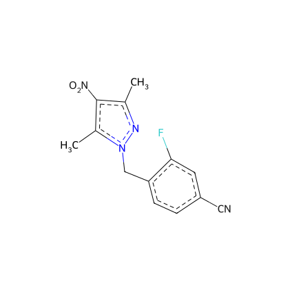 Cc1nn(Cc2ccc(C#N)cc2F)c(C)c1[N+](=O)[O-]